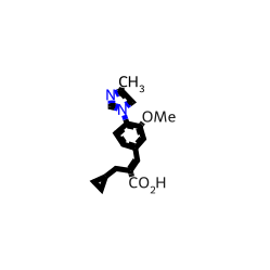 COc1cc(C=C(CC2CC2)C(=O)O)ccc1-n1cnc(C)c1